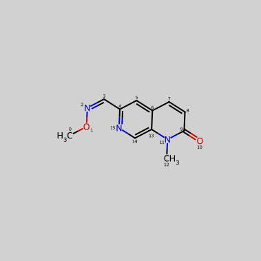 CO/N=C\c1cc2ccc(=O)n(C)c2cn1